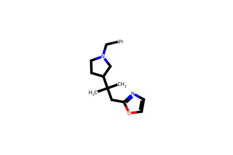 CC(C)CN1CCC(C(C)(C)Cc2ncco2)C1